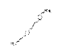 CCCCCCC[C@H]1CC[C@H](C=CC#CC=C[C@H]2CC[C@H](CCCC)CC2)CC1